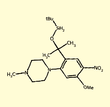 COc1cc(N2CCN(C)CC2)c(C(C)(C)O[SiH2]C(C)(C)C)cc1[N+](=O)[O-]